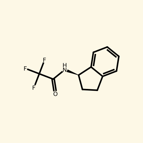 O=C(N[C@@H]1CCc2ccccc21)C(F)(F)F